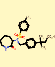 CC(C)(CC(=O)O)c1ccc(CN(C2CCCCNC2=O)S(=O)(=O)c2ccc(C(F)(F)F)cc2)cc1